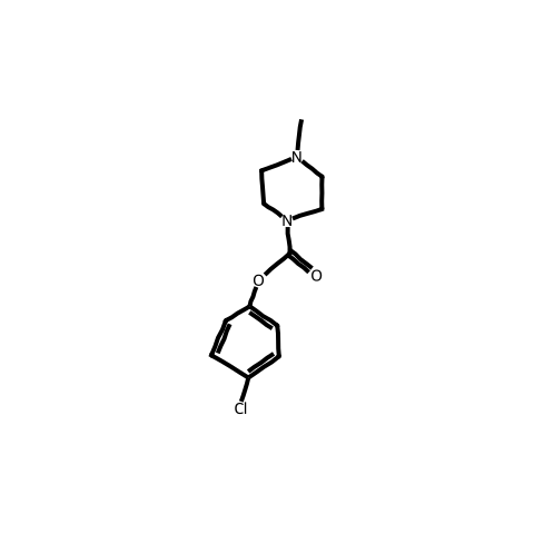 CN1CCN(C(=O)Oc2ccc(Cl)cc2)CC1